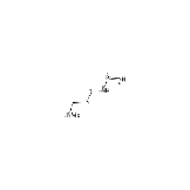 CNCCCNP=N